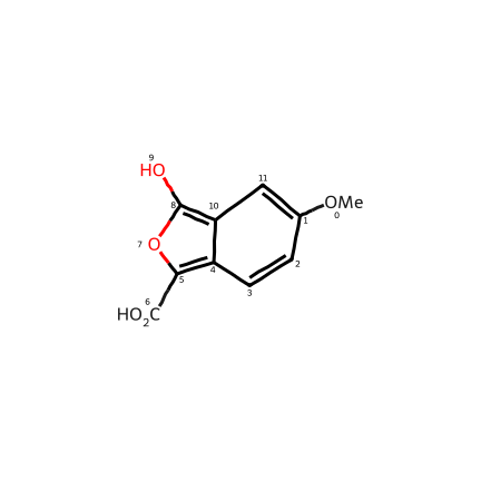 COc1ccc2c(C(=O)O)oc(O)c2c1